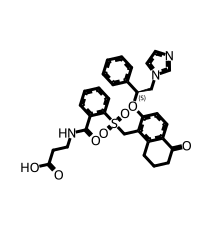 O=C(O)CCNC(=O)c1ccccc1S(=O)(=O)Cc1c(O[C@H](Cn2ccnc2)c2ccccc2)ccc2c1CCCC2=O